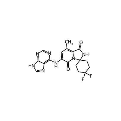 Cc1cc(Nc2ncnc3[nH]cnc23)c(=O)n2c1C(=O)NC21CCC(F)(F)CC1